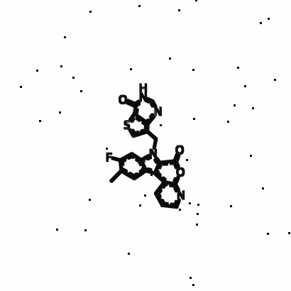 Cc1cc2c3c4cccnc4oc(=O)c3n(Cc3csc4c(=O)[nH]cnc34)c2cc1F